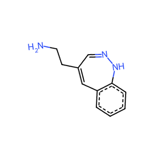 NCCC1=Cc2ccccc2NN=C1